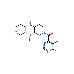 CO[C@@H]1COCC[C@@H]1NC1CCN(C(=O)c2ncnc(Cl)c2C)CC1